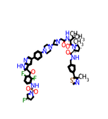 Cc1ncsc1-c1ccc(CNC(=O)[C@@H]2C[CH]CN2C(=O)[C@@H](NC(=O)CN2CC(N3CCN(c4ccc(-c5cnc6[nH]cc(C(=O)c7c(F)ccc(NS(=O)(=O)N8CC[C@@H](F)C8)c7F)c6c5)cc4)CC3)C2)C(C)(C)C)cc1